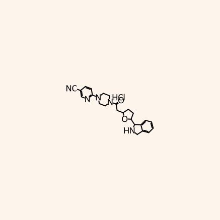 Cl.N#Cc1ccc(N2CCN(C(=O)CC3CCC(C4NCc5ccccc54)O3)CC2)nc1